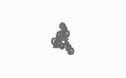 COc1ccc(CSC2CC(C(=O)N(C)N(Cc3ccccc3)C(=O)OC(C)(C)C)N(S(=O)(=O)c3ccc4ccccc4c3)C2)cc1